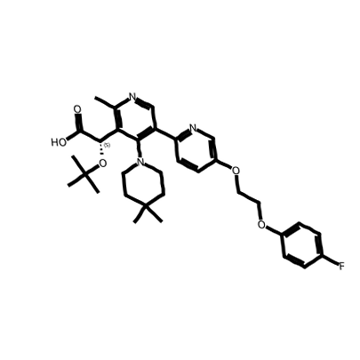 Cc1ncc(-c2ccc(OCCOc3ccc(F)cc3)cn2)c(N2CCC(C)(C)CC2)c1[C@H](OC(C)(C)C)C(=O)O